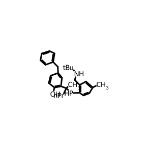 CCCC(C)(Pc1ccc(C)cc1CNC(C)(C)C)c1cc(Cc2ccccc2)ccc1O